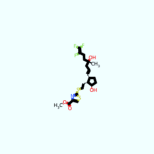 COC(=O)c1csc(SCC[C@@H]2[C@H](/C=C/C[C@@](C)(O)CCC(F)=C(F)F)CC[C@@H]2O)n1